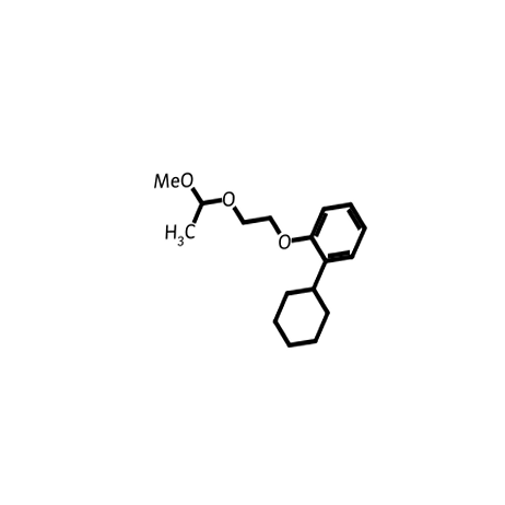 COC(C)OCCOc1ccccc1C1CCCCC1